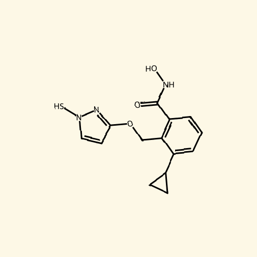 O=C(NO)c1cccc(C2CC2)c1COc1ccn(S)n1